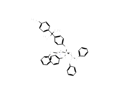 Cc1ccc(C(C)(C)c2ccc(OP(=NP(Oc3ccccc3)Oc3ccccc3)(/N=P/Oc3ccccc3)Oc3ccccc3)cc2)cc1